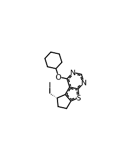 IC[C@H]1CCc2sc3ncnc(OC4CCCCC4)c3c21